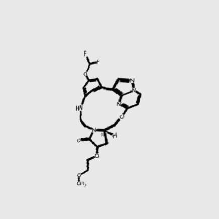 COCCOC1C[C@H]2COc3ccn4ncc(c4n3)-c3cc(cc(OC(F)F)c3)NCCN2C1=O